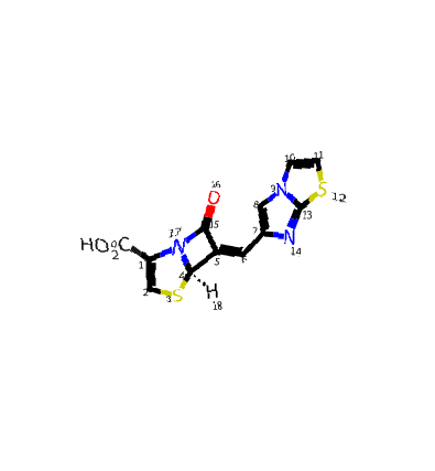 O=C(O)C1=CS[C@@H]2C(=Cc3cn4ccsc4n3)C(=O)N12